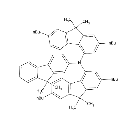 CCCCc1ccc2c(c1)C(C)(C)c1cc(CCCC)cc(N(c3ccc4c(c3)C(C)(C)c3ccccc3-4)c3cc(CCCC)cc4c3-c3ccc(CCCC)cc3C4(C)C)c1-2